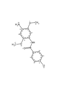 COc1cc(NC(=O)c2ccc(Cl)cc2)c(OC)cc1N